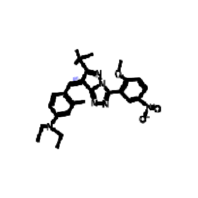 CCN(CC)c1ccc(/C=c2/c(C(C)(C)C)nn3c(-c4cc([N+](=O)[O-])ccc4OC)nnc23)c(C)c1